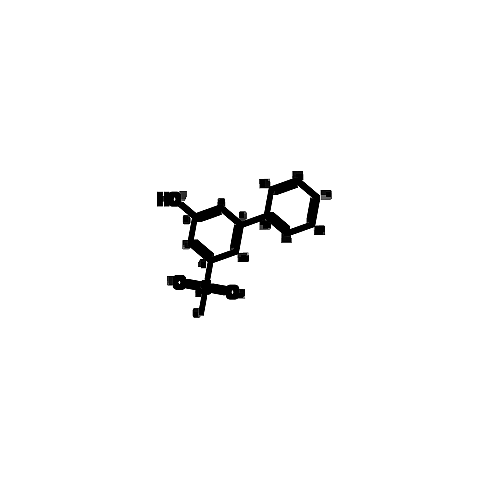 CS(=O)(=O)c1cc(O)cc(-c2ccccc2)c1